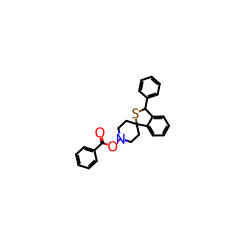 O=C(ON1CCC2(CC1)SC(c1ccccc1)c1ccccc12)c1ccccc1